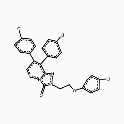 O=c1n(CCOc2ccc(Cl)cc2)nc2c(-c3ccc(Cl)cc3)c(-c3ccc(Cl)cc3)cnn12